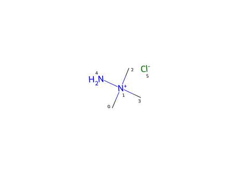 C[N+](C)(C)N.[Cl-]